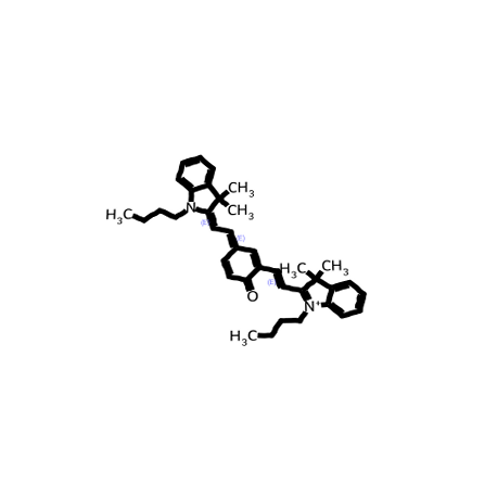 CCCCN1/C(=C/C=C2\C=CC(=O)C(/C=C/C3=[N+](CCCC)c4ccccc4C3(C)C)=C2)C(C)(C)c2ccccc21